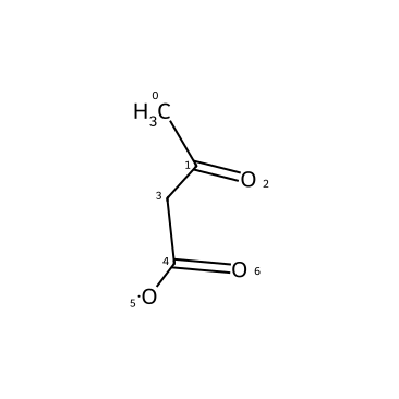 CC(=O)CC([O])=O